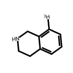 [2H]c1cccc2c1CNCC2